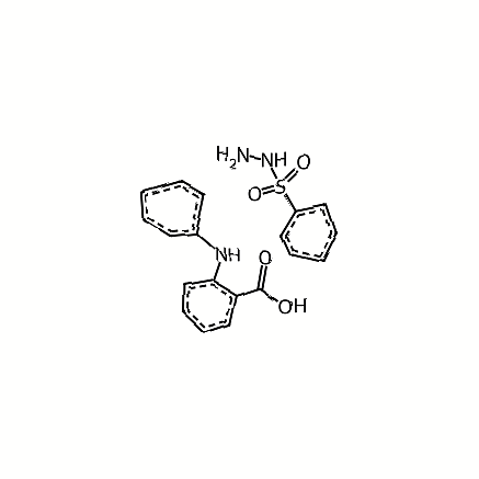 NNS(=O)(=O)c1ccccc1.O=C(O)c1ccccc1Nc1ccccc1